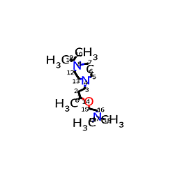 CC(CCN1CCCN(C(C)C)CC1)OCCN(C)C